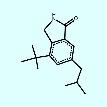 CC(C)Cc1cc2c(c(C(C)(C)C)c1)CNC2=O